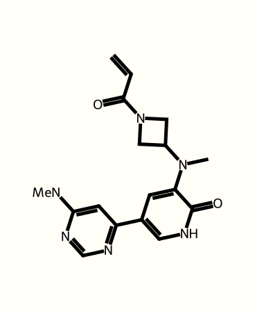 C=CC(=O)N1CC(N(C)c2cc(-c3cc(NC)ncn3)c[nH]c2=O)C1